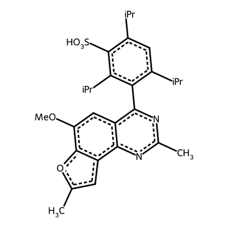 COc1cc2c(-c3c(C(C)C)cc(C(C)C)c(S(=O)(=O)O)c3C(C)C)nc(C)nc2c2cc(C)oc12